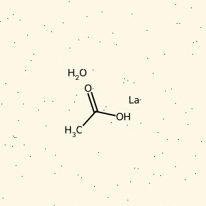 CC(=O)O.O.[La]